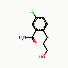 NC(=O)c1cc(Cl)ccc1[CH]CCO